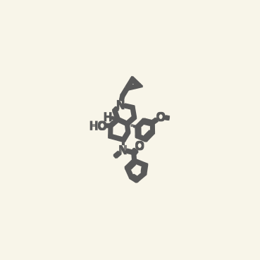 COc1cccc([C@@]23CCN(CC4CC4)C[C@H]2C(O)C[C@@H](N(C)C(=O)c2ccccc2)C3)c1